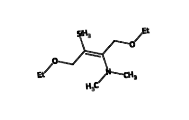 CCOCC([SiH3])=C(COCC)N(C)C